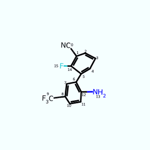 N#Cc1cccc(-c2cc(C(F)(F)F)ccc2N)c1F